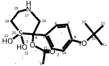 CC(=O)OC1(c2ccc(OC(C)(C)C)cc2)CNCCS1(O)O